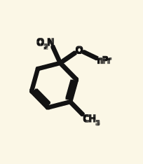 CCCOC1([N+](=O)[O-])C=C(C)C=CC1